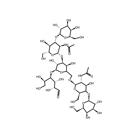 CC(=O)N[C@H]1[C@H](O[C@@H]2[C@@H](O)[C@H](O[C@@H]([C@H](O)[C@@H](O)C=O)[C@H](O)CO)OC(CO[C@@H]3O[C@H](CO)C(O[C@@H]4O[C@H](CO)[C@H](O)[C@H](O)[C@H]4O)[C@H](O)[C@H]3NC(C)=O)[C@@H]2O)O[C@H](CO)[C@@H](O)[C@@H]1O[C@@H]1O[C@H](CO)[C@H](O)[C@H](O)[C@H]1O